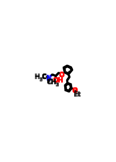 CCOc1cccc(CCc2ccccc2OCC(O)CN(C)C)c1